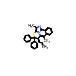 C=C/C=C1\c2c(C)c3ccccc3c3nc(C)c(n23)SC1(c1ccccc1)c1ccccc1